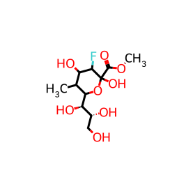 COC(=O)C1(O)OC([C@H](O)[C@H](O)CO)C(C)C(O)C1F